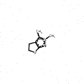 Cc1c2c(nn1C)OCC2